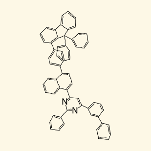 c1ccc(-c2cccc(-c3cc(-c4ccc(-c5ccc(-c6cccc7c6C(c6ccccc6)(c6ccccc6)c6ccccc6-7)cc5)c5ccccc45)nc(-c4ccccc4)n3)c2)cc1